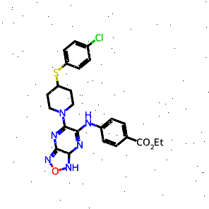 CCOC(=O)c1ccc(NC2=NC3NON=C3N=C2N2CCC(Sc3ccc(Cl)cc3)CC2)cc1